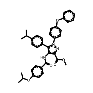 COC(=O)c1nn(-c2ccc(Oc3ccccc3)cc2)c(-c2ccc(C(C)C)cc2)c1NC(=O)c1ccc(OC(C)C)cc1